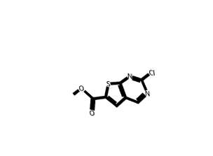 COC(=O)c1cc2cnc(Cl)nc2s1